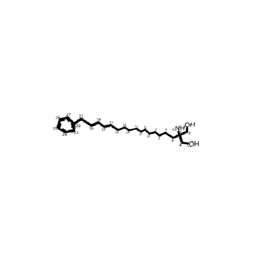 NC(CO)(CO)CCCCCCCCCCCCCCCCc1ccccc1